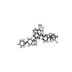 Cc1csc2nc(NC3CCC(N4CCCCC4)CC3)nc(Nc3cccc(C(C)(C)O)n3)c12